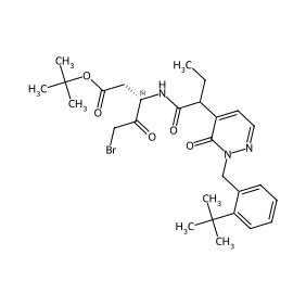 CCC(C(=O)N[C@@H](CC(=O)OC(C)(C)C)C(=O)CBr)c1ccnn(Cc2ccccc2C(C)(C)C)c1=O